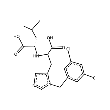 CC(C)C[C@H](NC(Cc1cncn1Cc1cc(Cl)cc(Cl)c1)C(=O)O)C(=O)O